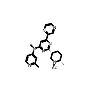 CC(=O)N1C[C@H](c2nc(-c3cnccn3)cc(N(C)c3ccnc(C)c3)n2)CC[C@@H]1C